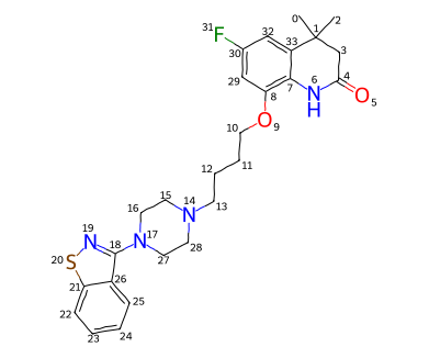 CC1(C)CC(=O)Nc2c(OCCCCN3CCN(c4nsc5ccccc45)CC3)cc(F)cc21